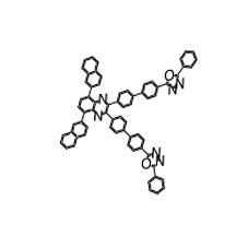 c1ccc(-c2nnc(-c3ccc(-c4ccc(-c5nc6c(-c7ccc8ccccc8c7)ccc(-c7ccc8ccccc8c7)c6nc5-c5ccc(-c6ccc(-c7nnc(-c8ccccc8)o7)cc6)cc5)cc4)cc3)o2)cc1